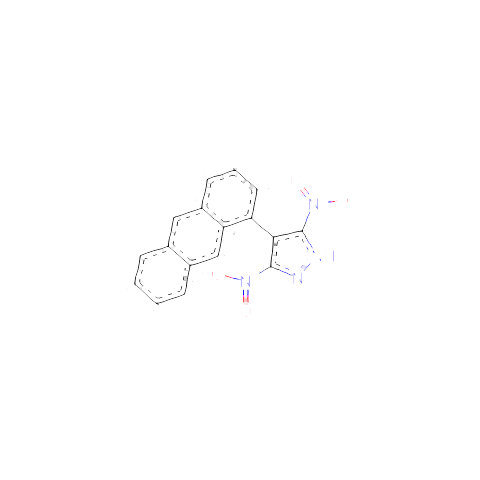 O=[N+]([O-])c1n[nH]c([N+](=O)[O-])c1-c1cccc2cc3ccccc3cc12